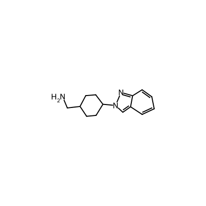 NCC1CCC(n2cc3ccccc3n2)CC1